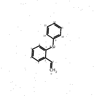 C=Cc1ccccc1[Si]c1ccccc1